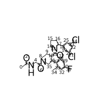 CC(=O)NCC(=O)N1CCC(C(=O)N2CCCC2c2cc(Cl)cc(Cl)c2)C(c2ccc(F)cc2C)C1